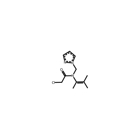 CC(C)=C(C)N(Cn1cccn1)C(=O)CCl